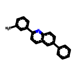 Cc1cccc(-c2ccc3cc(-c4ccccc4)ccc3n2)c1